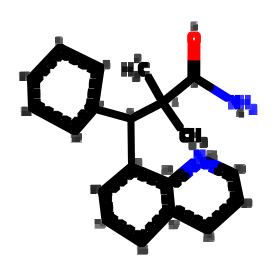 CC(C)(C(N)=O)C(c1ccccc1)c1cccc2cccnc12